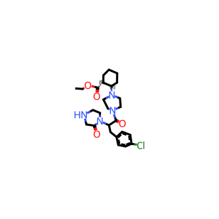 CCOC(=O)[C@@H]1CCCC[C@H]1N1CCN(C(=O)C(Cc2ccc(Cl)cc2)N2CCNCC2=O)CC1